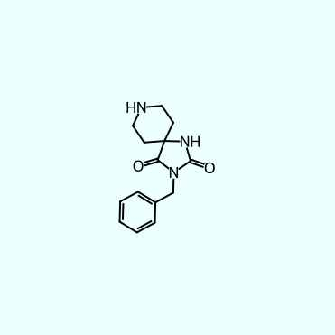 O=C1NC2(CCNCC2)C(=O)N1Cc1ccccc1